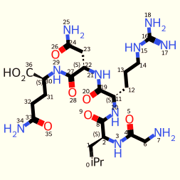 CC(C)C[C@H](NC(=O)CN)C(=O)N[C@@H](CCCNC(=N)N)C(=O)N[C@@H](CC(N)=O)C(=O)N[C@@H](CCC(N)=O)C(=O)O